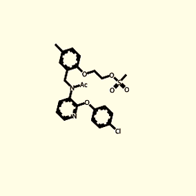 CC(=O)N(Cc1cc(C)ccc1OCCOS(C)(=O)=O)c1cccnc1Oc1ccc(Cl)cc1